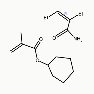 C=C(C)C(=O)OC1CCCCC1.CC/C=C(/CC)C(N)=O